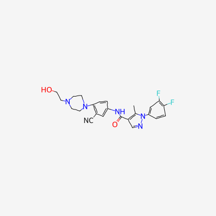 Cc1c(C(=O)Nc2ccc(N3CCN(CCO)CC3)c(C#N)c2)cnn1-c1ccc(F)c(F)c1